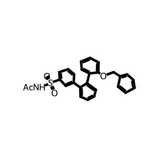 CC(=O)NS(=O)(=O)c1cccc(-c2ccccc2-c2ccccc2OCc2ccccc2)c1